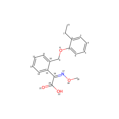 CCc1ccccc1OCc1ccccc1C(=NOC)C(=O)O